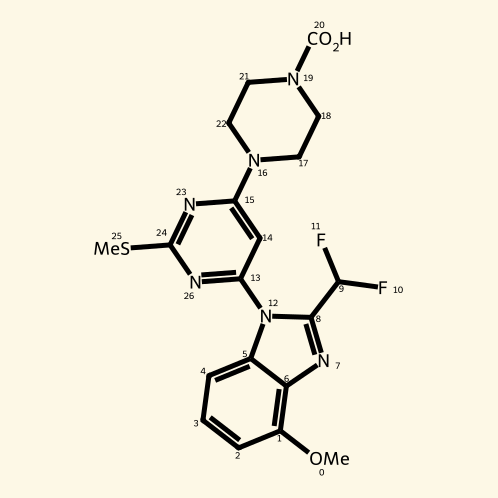 COc1cccc2c1nc(C(F)F)n2-c1cc(N2CCN(C(=O)O)CC2)nc(SC)n1